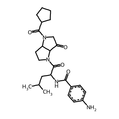 CC(C)CC(NC(=O)c1ccc(N)cc1)C(=O)N1CCC2C1C(=O)CN2C(=O)C1CCCC1